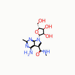 CNC(=O)c1cn([C@@H]2O[C@H](CO)[C@@H](O)[C@H]2O)c2nc(C)nc(N)c12